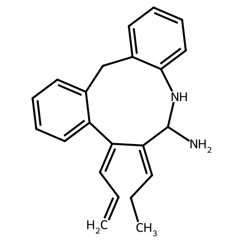 C=C/C=C1\C(=C/CC)C(N)Nc2ccccc2Cc2ccccc21